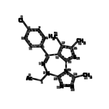 CC(=O)CN1N=C(c2ccc(Cl)cc2)c2c(sc(C)c2C)-n2c(C)nnc21